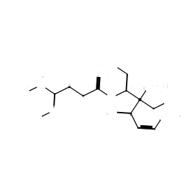 CCCCCC/C=C\C(CCC)C(CO)(C(=O)O)C(CC(=O)O)OC(=O)CCC(OCCCCCCCC)OCCCCCCCC